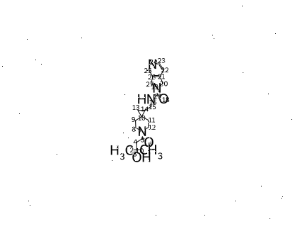 CC(C)(O)CC(=O)N1CCC2(CC1)CC2CNC(=O)N1Cc2ccncc2C1